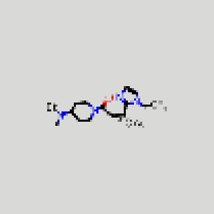 CCN(C)C1CCN(C(=O)C[C@@H](OC(C)=O)c2nccn2CC(F)(F)F)CC1